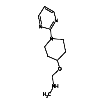 CNCOC1CCN(c2ncccn2)CC1